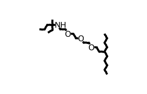 CCCCCC(CCCC)CCOCCOCCOCCNC(C)(CC)CCC